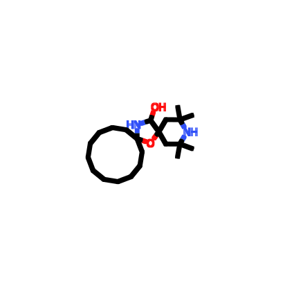 CC1(C)CC2(CC(C)(C)N1)OC1(CCCCCCCCCCC1)NC2O